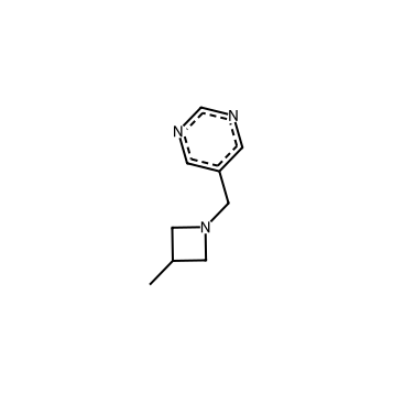 CC1CN(Cc2cncnc2)C1